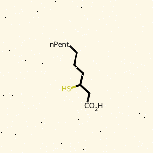 CCCCCCCCC(S)CC(=O)O